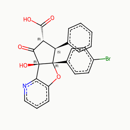 O=C(O)[C@H]1C(=O)[C@@]2(O)c3ncccc3O[C@@]2(c2ccc(Br)cc2)[C@@H]1c1ccccc1